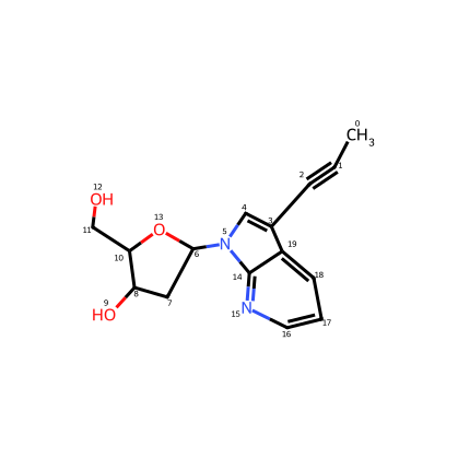 CC#Cc1cn(C2CC(O)C(CO)O2)c2ncccc12